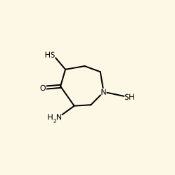 NC1CN(S)CCC(S)C1=O